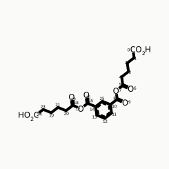 O=C(O)CCCCC(=O)OC(=O)c1cccc(C(=O)OC(=O)CCCCC(=O)O)c1